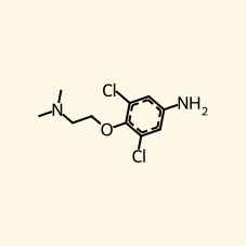 CN(C)CCOc1c(Cl)cc(N)cc1Cl